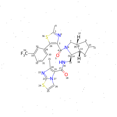 Cc1nc(C(=O)N2C[C@@H]3CC(C)C[C@@H]3[C@H]2CNC(=O)c2c(C)nc3sccn23)c(-c2cccc(C(F)(F)F)c2)s1